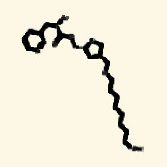 CCCCCCCCCCCCCCCCCCOC[C@@H]1CO[C@@H](COC(=O)N(Cc2cccnc2)C(C)=O)C1